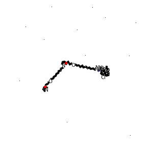 CC(=O)Oc1c(/C(N)=C/N(N)CCCCCCCCCCCCOCCCc2ccc[n+](CCCCCCCCCCOCCCc3cccnc3)c2)cc(Cl)c2cccnc12